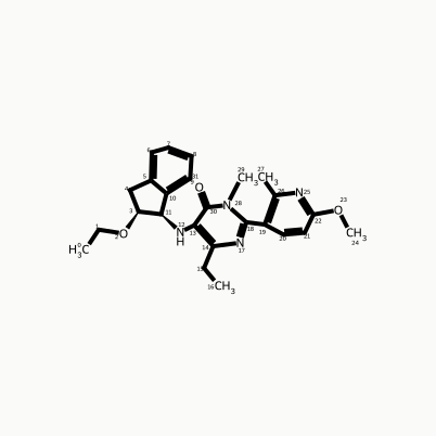 CCO[C@H]1Cc2ccccc2[C@H]1Nc1c(CC)nc(-c2ccc(OC)nc2C)n(C)c1=O